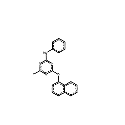 Fc1nc(Nc2ccccc2)nc(Oc2cccc3ccccc23)n1